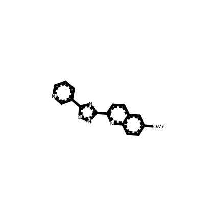 COc1ccc2nc(-c3noc(-c4cccnc4)n3)ccc2c1